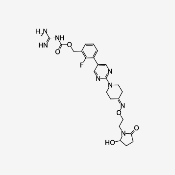 N=C(N)NC(=O)OCc1cccc(-c2cnc(N3CCC(=NOCCN4C(=O)CCC4O)CC3)nc2)c1F